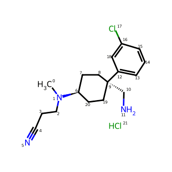 CN(CCC#N)[C@H]1CC[C@@](CN)(c2cccc(Cl)c2)CC1.Cl